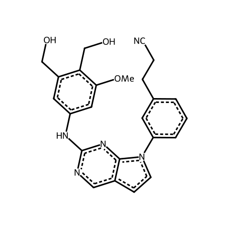 COc1cc(Nc2ncc3ccn(-c4cccc(CCC#N)c4)c3n2)cc(CO)c1CO